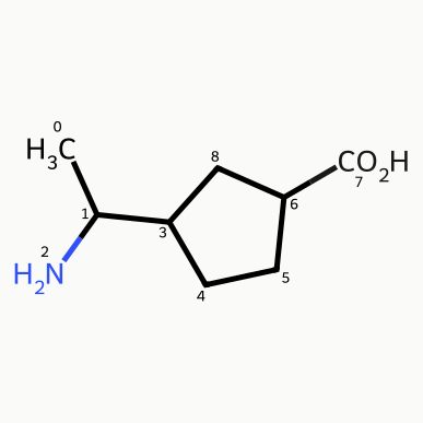 CC(N)C1CCC(C(=O)O)C1